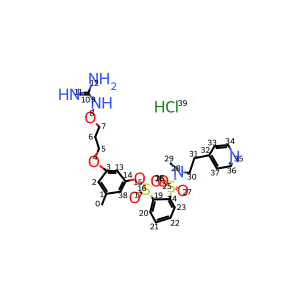 Cc1cc(OCCCONC(=N)N)cc(OS(=O)(=O)c2ccccc2S(=O)(=O)N(C)CCc2ccncc2)c1.Cl